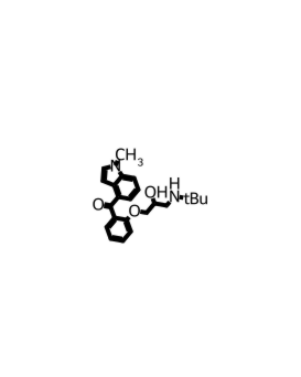 Cn1ccc2c(C(=O)c3ccccc3OCC(O)CNC(C)(C)C)cccc21